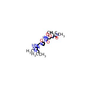 COC(=O)NC(CC/C=C/C(=O)N(C)C)C(=O)Nc1cccn(Cc2nc3c(CC(C)C)nc(C)nc3[nH]2)c1=O